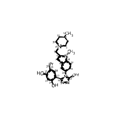 CC1CCN(Cc2cc3cc(-n4c(O)nnc4-c4cc(C(C)C)c(O)cc4O)ccc3n2C)CC1